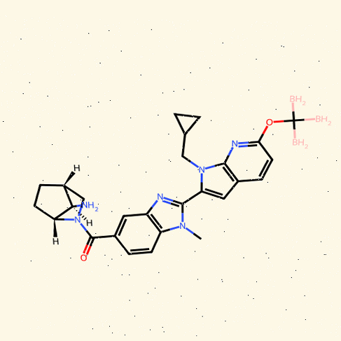 BC(B)(B)Oc1ccc2cc(-c3nc4cc(C(=O)N5C[C@H]6CC[C@@H]5[C@@H]6N)ccc4n3C)n(CC3CC3)c2n1